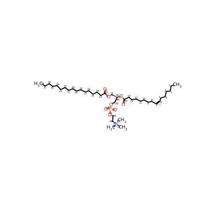 CCCCCC/C=C\CCCCCCCC(=O)O[C@H](COC(=O)CCCCCCCCCCCCCCCC)COP(=O)([O-])OCC[N+](C)(C)C